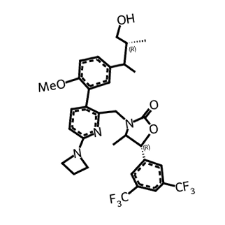 COc1ccc(C(C)[C@@H](C)CO)cc1-c1ccc(N2CCC2)nc1CN1C(=O)O[C@H](c2cc(C(F)(F)F)cc(C(F)(F)F)c2)C1C